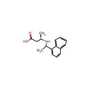 CC(N[C@H](C)CC(=O)O)c1cccc2ccccc12